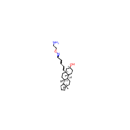 C[C@@]12CCC[C@H]1[C@@H]1CC[C@]3(C=CC=CC=NOCCN)C[C@@H](O)CC[C@]3(C)[C@H]1CC2